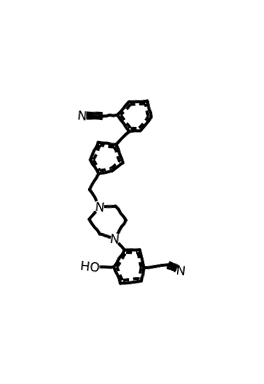 N#Cc1ccc(O)c(N2CCN(Cc3ccc(-c4ccccc4C#N)cc3)CC2)c1